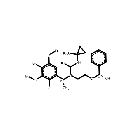 CCOc1cc([C@@H](C)N(CCO[C@@H](C)c2ccccc2)C(O)NC2(C(=O)O)CC2)c(Cl)c(OCC)c1C(C)=O